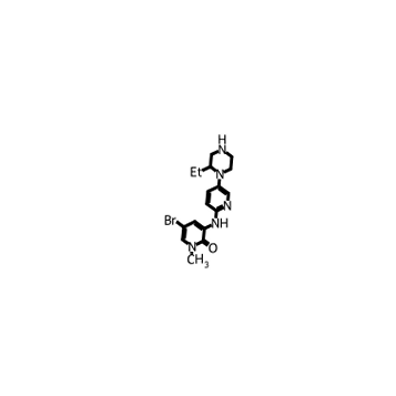 CCC1CNCCN1c1ccc(Nc2cc(Br)cn(C)c2=O)nc1